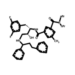 CCCN(CCC)C(=O)c1cc(C)cc(C(=O)N[C@@H](Cc2cc(F)cc(F)c2)[C@H](O)CNC(CCc2ccccc2)c2ccccc2)c1